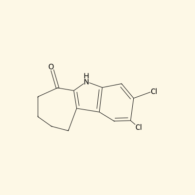 O=C1CCCCc2c1[nH]c1cc(Cl)c(Cl)cc21